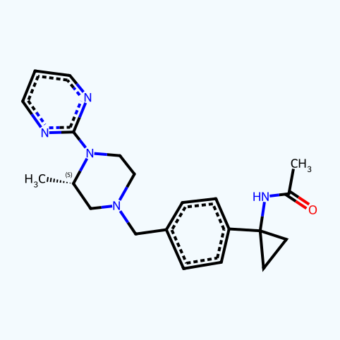 CC(=O)NC1(c2ccc(CN3CCN(c4ncccn4)[C@@H](C)C3)cc2)CC1